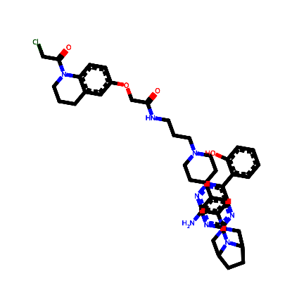 Nc1nnc(-c2ccccc2O)cc1N1CC2CCC(C1)N2c1ncc(C2CCN(CCCNC(=O)COc3ccc4c(c3)CCCN4C(=O)CCl)CC2)cn1